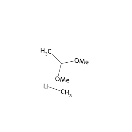 COC(C)OC.[Li][CH3]